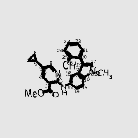 COC(=O)c1cc(C2CC2)cnc1Nc1ccc2c(c1)c(-c1ccccc1C)cn2C